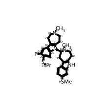 CSc1ccc2c3c([nH]c2c1)CCN(C)C(n1c2c(c4cc(F)c(SC(C)C)cc41)CCN(C)CC2)C3